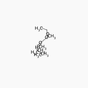 CCCCC/C=C\CCCOC[C@H](C)COCCCCCCCO[C@H]1CC[C@@]2(C)C(=CC[C@@H]3C2CC[C@@]2(C)C3CC[C@@H]2[C@H](C)CCCC(C)C)C1